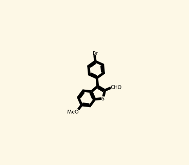 COc1ccc2c(-c3ccc(Br)cc3)c(C=O)sc2c1